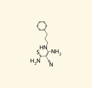 N#CC(C(N)=S)=C(N)NCCCc1ccccc1